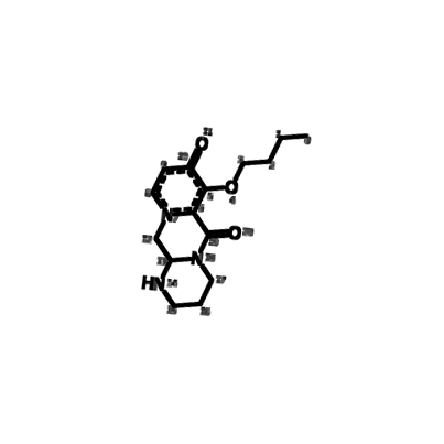 CCCCOc1c2n(ccc1=O)CC1NCCCN1C2=O